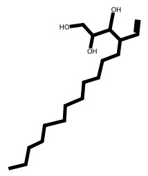 C=CC(CCCCCCCCCCCC)C(O)C(O)CO